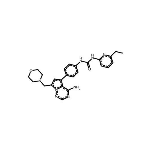 CCc1cccc(NC(=O)Nc2ccc(-c3cc(CN4CCOCC4)n4ncnc(N)c34)cc2)n1